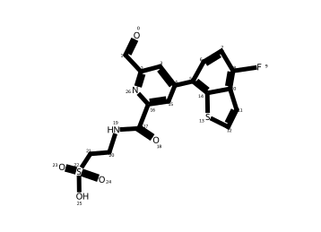 O=Cc1cc(-c2ccc(F)c3ccsc23)cc(C(=O)NCCS(=O)(=O)O)n1